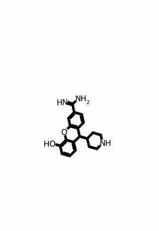 N=C(N)c1ccc2c(c1)Oc1c(O)cccc1C2C1CCNCC1